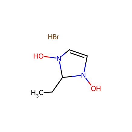 Br.CCC1N(O)C=CN1O